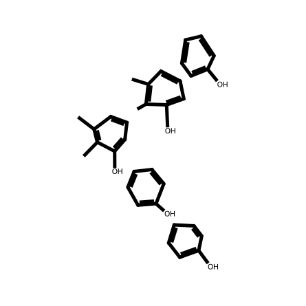 Cc1cccc(O)c1C.Cc1cccc(O)c1C.Oc1ccccc1.Oc1ccccc1.Oc1ccccc1